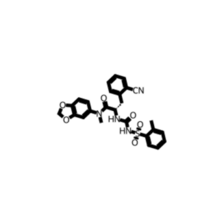 Cc1ccccc1S(=O)(=O)NC(=O)N[C@@H](Cc1ccccc1C#N)C(=O)N(C)c1ccc2c(c1)OCO2